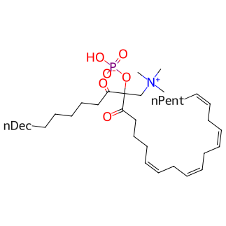 CCCCC/C=C\C/C=C\C/C=C\C/C=C\CCCC(=O)C(C[N+](C)(C)C)(OP(=O)([O-])O)C(=O)CCCCCCCCCCCCCCC